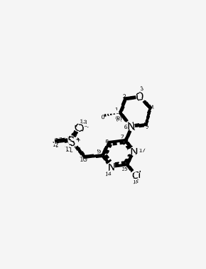 C[C@@H]1COCCN1c1cc(C[S+](C)[O-])nc(Cl)n1